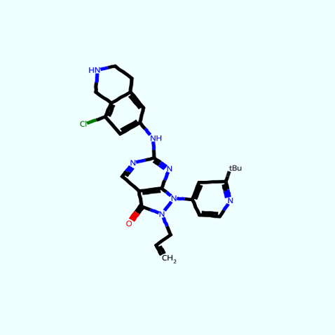 C=CCn1c(=O)c2cnc(Nc3cc(Cl)c4c(c3)CCNC4)nc2n1-c1ccnc(C(C)(C)C)c1